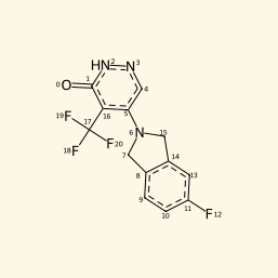 O=c1[nH]ncc(N2Cc3ccc(F)cc3C2)c1C(F)(F)F